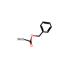 CSC(=O)OCc1ccccc1